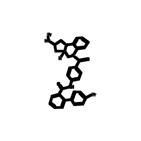 CC(C)NC1C[C@H]2CN(C(=O)c3ccc(NC(=O)c4ccccc4-c4ccc(C(C)C)cc4)cc3)c3ccccc3N2C1